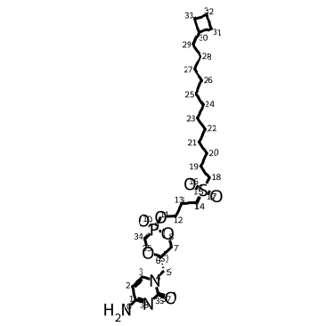 Nc1ccn(C[C@H]2COP(=O)(OCCCS(=O)(=O)CCCCCCCCCCCCC3CCC3)CO2)c(=O)n1